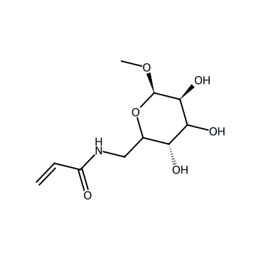 C=CC(=O)NCC1O[C@@H](OC)[C@@H](O)C(O)[C@@H]1O